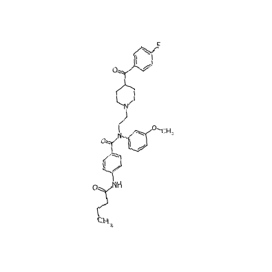 CCCC(=O)Nc1ccc(C(=O)N(CCN2CCC(C(=O)c3ccc(F)cc3)CC2)c2cccc(OC)c2)cc1